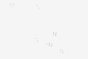 CSc1cncc(-c2ccnc(-c3nc(C4CCCCC4)c([N+](=O)[O-])[nH]3)c2)c1